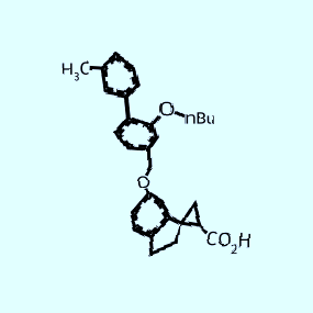 CCCCOc1cc(COc2ccc3c(c2)[C@]2(CC3)C[C@H]2C(=O)O)ccc1-c1cccc(C)c1